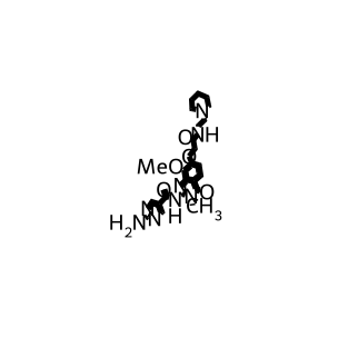 COc1c(OCC(=O)NCCN2CCCCC2)ccc2c(=O)n(C)c(NC(=O)c3cnc(N)nc3)nc12